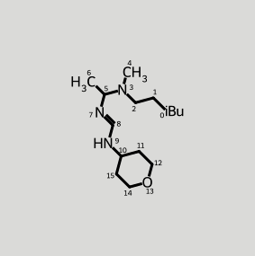 CCC(C)CCN(C)C(C)/N=C/NC1CCOCC1